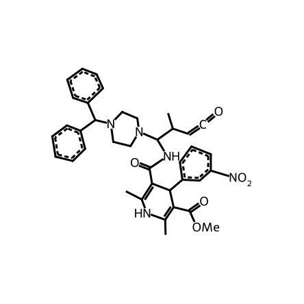 COC(=O)C1=C(C)NC(C)=C(C(=O)NC(C(C)C=C=O)N2CCN(C(c3ccccc3)c3ccccc3)CC2)C1c1cccc([N+](=O)[O-])c1